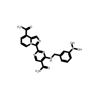 NC(=O)c1cnc(-c2ncc3c(C(N)=O)cccn23)nc1NCc1cccc(B(O)O)c1